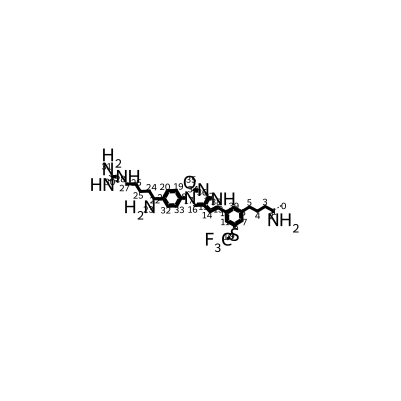 C[C@H](N)CCCc1cc(SC(F)(F)F)cc(-c2cc3cn(-c4ccc([C@H](N)CCCCNC(=N)N)cc4)c(=O)nc3[nH]2)c1